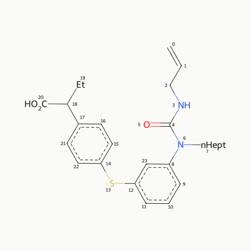 C=CCNC(=O)N(CCCCCCC)c1cccc(Sc2ccc(C(CC)C(=O)O)cc2)c1